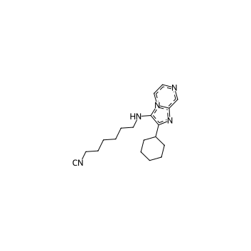 [C-]#[N+]CCCCCCNc1c(C2CCCCC2)nc2cnccn12